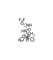 CC(NC(=O)[C@@H]1C[C@@H](OC(F)F)CN1)c1cc2cnccc2n1S(=O)(=O)c1ccccc1